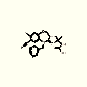 CC(C)(C[C@H]1CSc2cc(F)c(C#N)cc2N(Cc2ccccc2)C1=O)NC(=O)O